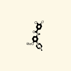 COc1ccc(N(C)C(=O)c2ccc(Cl)c(Cl)c2)cc1N1CCN(C)CC1